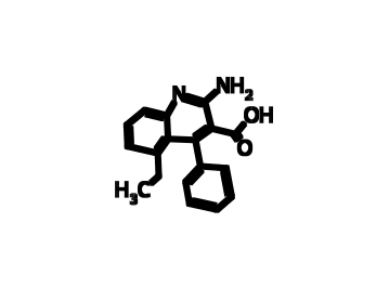 CCc1cccc2nc(N)c(C(=O)O)c(-c3ccccc3)c12